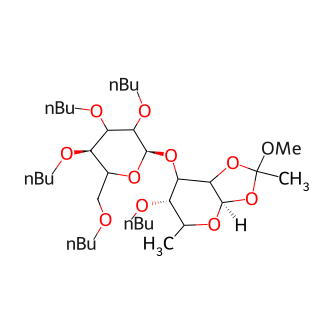 CCCCOCC1O[C@H](OC2C3OC(C)(OC)O[C@H]3OC(C)[C@@H]2OCCCC)C(OCCCC)C(OCCCC)[C@@H]1OCCCC